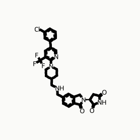 O=C1C[C@H](N2Cc3cc(CNCC4CCN(c5ncc(-c6cccc(Cl)c6)cc5C(F)(F)F)CC4)ccc3C2=O)C(=O)N1